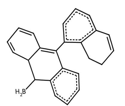 BC1c2ccccc2C(c2cccc3c2CCC=C3)=C2C=CC=CC21